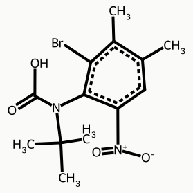 Cc1cc([N+](=O)[O-])c(N(C(=O)O)C(C)(C)C)c(Br)c1C